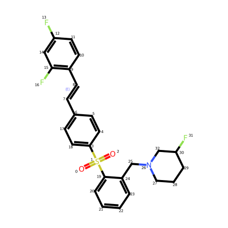 O=S(=O)(c1ccc(/C=C/c2ccc(F)cc2F)cc1)c1ccccc1CN1CCCC(F)C1